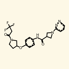 O=C(Nc1ccc(OC2CCN(C(=O)CC(F)(F)F)C2)cc1)C1CN(c2cccnn2)C1